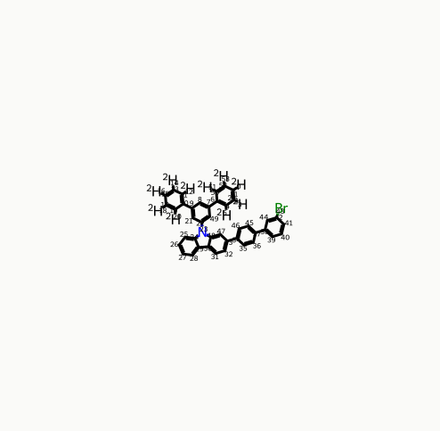 [2H]c1c([2H])c([2H])c(-c2cc(-c3c([2H])c([2H])c([2H])c([2H])c3[2H])cc(-n3c4ccccc4c4ccc(-c5ccc(-c6cccc(Br)c6)cc5)cc43)c2)c([2H])c1[2H]